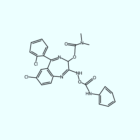 CN(C)C(=O)OC1N=C(c2ccccc2Cl)c2cc(Cl)ccc2N=C1NOC(=O)Nc1ccccc1